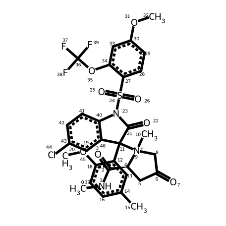 CNC(=O)[C@@H]1CC(=O)C[N+]1(C)C1(c2cc(C)ccc2OC)C(=O)N(S(=O)(=O)c2ccc(OC)cc2OC(F)(F)F)c2ccc(Cl)cc21